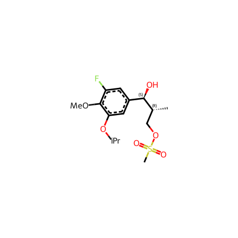 COc1c(F)cc([C@@H](O)[C@H](C)COS(C)(=O)=O)cc1OC(C)C